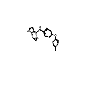 Cc1ccc(Oc2ccc(Nc3ncnc4[nH]ccc34)cc2)cc1